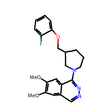 COc1cc2cnnc(N3CCCC(COc4ccccc4F)C3)c2cc1OC